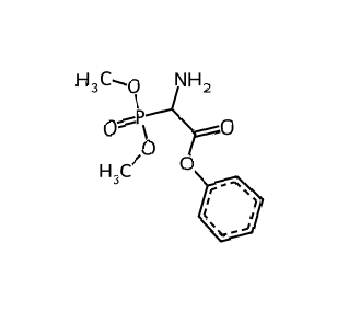 COP(=O)(OC)C(N)C(=O)Oc1ccccc1